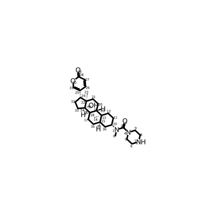 CN(C(=O)N1CCNCC1)[C@H]1CC[C@@]2(C)[C@H](CC[C@@H]3[C@@H]2CC[C@]2(C)[C@@H](c4ccc(=O)oc4)CC[C@]32O)C1